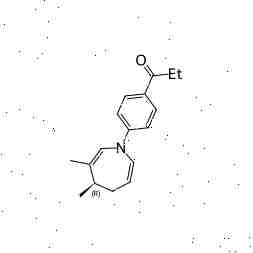 CCC(=O)c1ccc(N2C=CC[C@@H](C)C(C)=C2)cc1